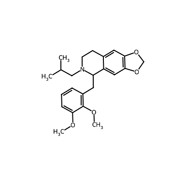 COc1cccc(CC2c3cc4c(cc3CCN2CC(C)C)OCO4)c1OC